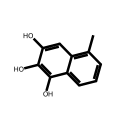 Cc1cccc2c(O)c(O)c(O)cc12